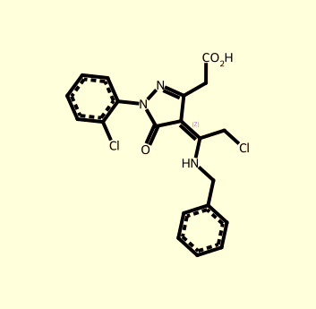 O=C(O)CC1=NN(c2ccccc2Cl)C(=O)/C1=C(/CCl)NCc1ccccc1